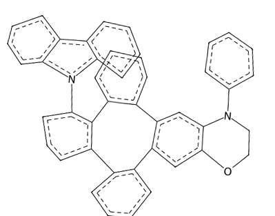 c1ccc(N2CCOc3cc4c(cc32)-c2ccccc2-c2c(cccc2-n2c3ccccc3c3ccccc32)-c2ccccc2-4)cc1